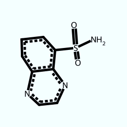 NS(=O)(=O)c1cccc2nccnc12